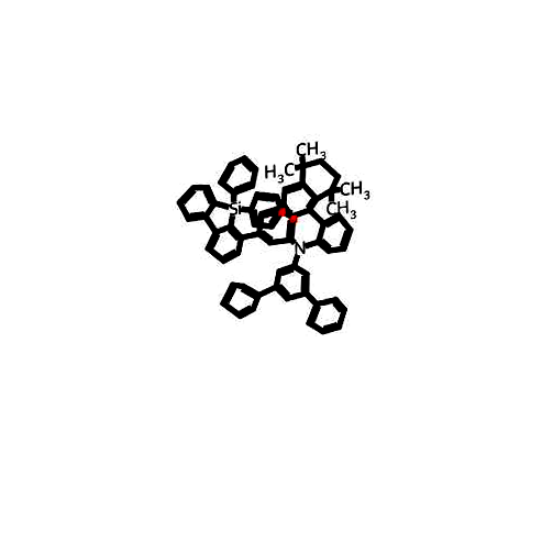 CC1(C)CCC(C)(C)c2c(-c3ccccc3N(c3cc(-c4ccccc4)cc(-c4ccccc4)c3)c3cccc(-c4cccc5c4[Si](c4ccccc4)(c4ccccc4)c4ccccc4-5)c3)cccc21